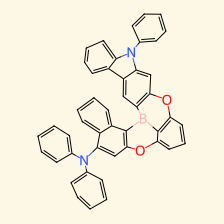 c1ccc(N(c2ccccc2)c2cc3c(c4ccccc24)B2c4cc5c6ccccc6n(-c6ccccc6)c5cc4Oc4cccc(c42)O3)cc1